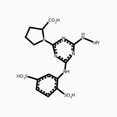 CCCNc1nc(Nc2cc(S(=O)(=O)O)ccc2S(=O)(=O)O)nc(N2CCCC2C(=O)O)n1